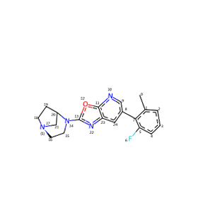 Cc1cccc(F)c1-c1cnc2oc(N3CC[N@@]4CCC3C4)nc2c1